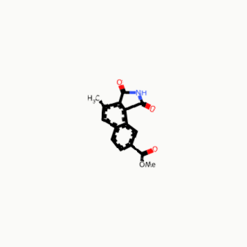 COC(=O)c1ccc2cc(C)c3c(c2c1)C(=O)NC3=O